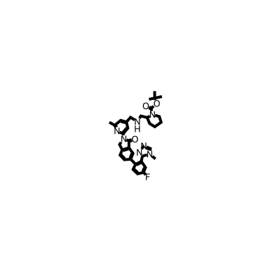 Cc1cc(CNCC2CCCCN2C(=O)OC(C)(C)C)cc(N2Cc3ccc(-c4ccc(F)cc4-c4nncn4C)cc3C2=O)n1